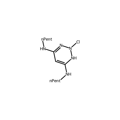 CCCCCNC1=CC(NCCCCC)=NN(Cl)N1